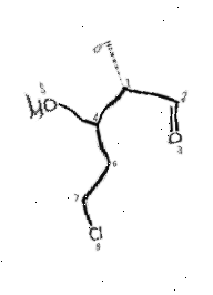 C[C@H]([C]=O)C(O)CCCl